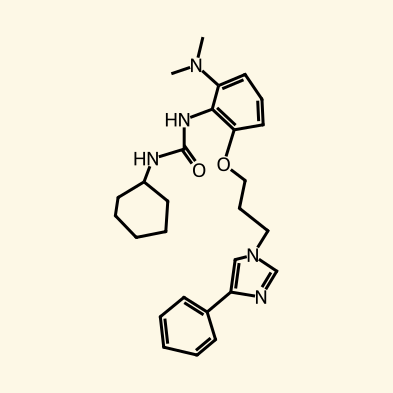 CN(C)c1cccc(OCCCn2cnc(-c3ccccc3)c2)c1NC(=O)NC1CCCCC1